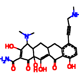 CNCC#Cc1ccc(O)c2c1CC1CC3C(N(C)C)C(O)=C(C(N)=O)C(=O)C3(O)C(O)=C1C2=O